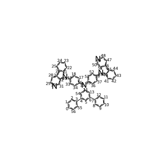 c1ccc(-c2cc(-c3ccccc3)cc(N(c3ccc(-n4c5ccccc5c5ccncc54)cc3)c3ccc(-n4c5ccccc5c5ccncc54)cc3)c2)cc1